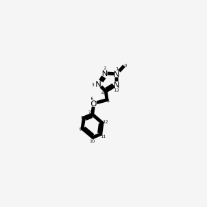 Cn1nnc(COc2ccccc2)n1